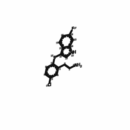 NCCc1cc(Cl)ccc1Sc1c[nH]c2cc(F)ccc12